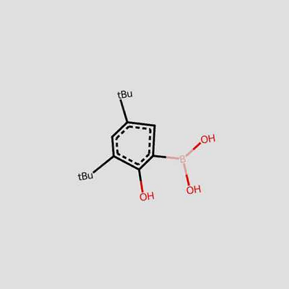 CC(C)(C)c1cc(B(O)O)c(O)c(C(C)(C)C)c1